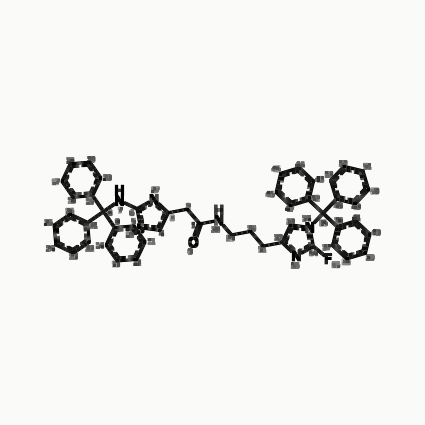 O=C(Cc1csc(NC(c2ccccc2)(c2ccccc2)c2ccccc2)n1)NCCCc1cn(C(c2ccccc2)(c2ccccc2)c2ccccc2)c(F)n1